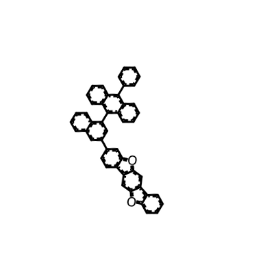 c1ccc(-c2c3ccccc3c(-c3cc(-c4ccc5c(c4)oc4cc6c(cc45)oc4ccccc46)cc4ccccc34)c3ccccc23)cc1